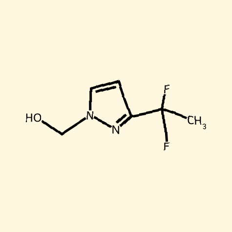 CC(F)(F)c1ccn(CO)n1